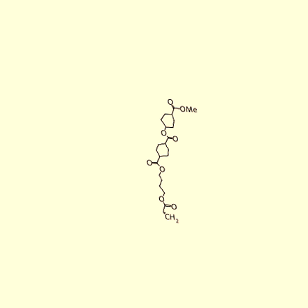 C=CC(=O)OCCCCOC(=O)C1CCC(C(=O)OC2CCC(C(=O)OC)CC2)CC1